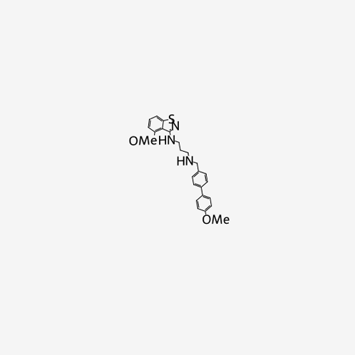 COc1ccc(-c2ccc(CNCCCNc3nsc4cccc(OC)c34)cc2)cc1